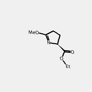 CCOC(=O)[C@@H]1CCC(OC)=N1